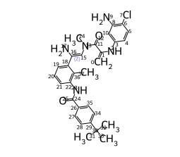 C=C(Nc1ccc(Cl)c(N)c1)C(=O)N(C)/C=C(\N)c1cccc(NC(=O)c2ccc(C(C)(C)C)cc2)c1C